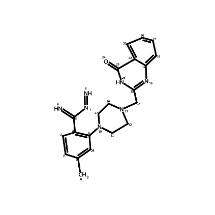 Cc1ccc(C(=N)N=N)c(N2CCN(Cc3nc4ccccc4c(=O)[nH]3)CC2)c1